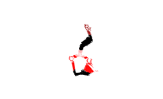 Br/C=C/B1OCCO1